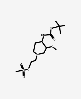 COC1CN(CCOS(C)(=O)=O)CCC1NC(=O)OC(C)(C)C